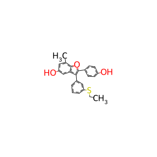 CCSc1cccc(-c2c(-c3ccc(O)cc3)oc3c(C)cc(O)cc23)c1